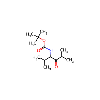 CC(C)C(=O)C(NC(=O)OC(C)(C)C)C(C)C